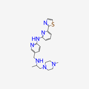 CC(CN1CCN(C)CC1)NCc1ccc(Nc2cccc(-c3nccs3)n2)nc1